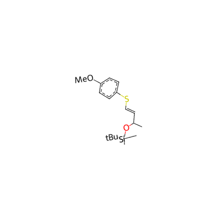 COc1ccc(SC=CC(C)O[Si](C)(C)C(C)(C)C)cc1